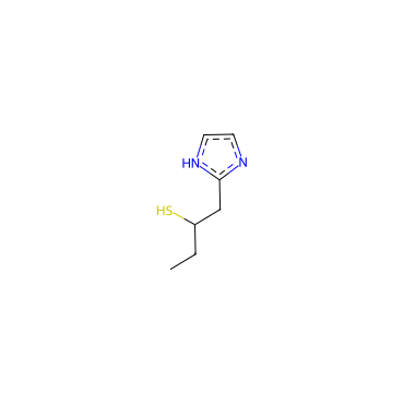 CCC(S)Cc1ncc[nH]1